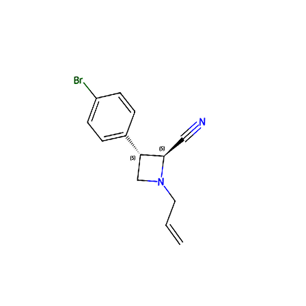 C=CCN1C[C@H](c2ccc(Br)cc2)[C@H]1C#N